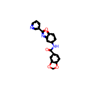 O=C(Nc1ccc2oc(-c3cccnc3)nc2c1)c1ccc2c(c1)OCO2